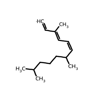 [CH]=C/C(C)=C/C=C\C(C)CCCC(C)C